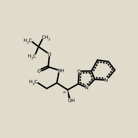 CCC(NC(=O)OC(C)(C)C)[C@H](O)c1nc2ncccc2o1